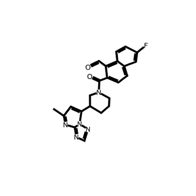 Cc1cc(C2CCCN(C(=O)c3ccc4cc(F)ccc4c3C=O)C2)n2ncnc2n1